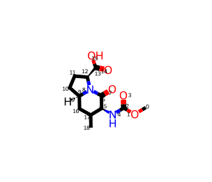 COC(=O)N[C@@H]1C(=O)N2[C@H](CC[C@H]2C(=O)O)CC1C